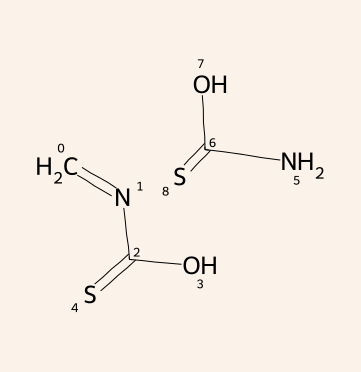 C=NC(O)=S.NC(O)=S